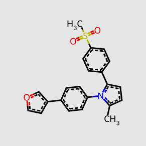 Cc1ccc(-c2ccc(S(C)(=O)=O)cc2)n1-c1ccc(-c2ccoc2)cc1